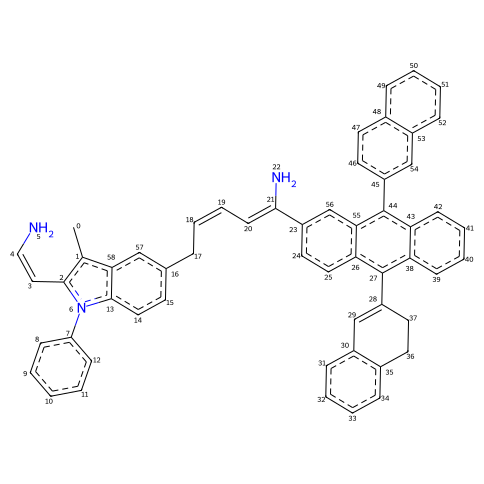 Cc1c(/C=C\N)n(-c2ccccc2)c2ccc(C/C=C\C=C(/N)c3ccc4c(C5=Cc6ccccc6CC5)c5ccccc5c(-c5ccc6ccccc6c5)c4c3)cc12